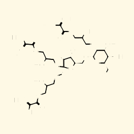 C=C(C)C(=O)OCC(O)COC[C@@]1(OCC(O)COC(=O)C(=C)C)O[C@H](CO[C@H]2O[C@H](CO)[C@@H](O)[C@H](O)[C@H]2OCC(O)COC(=O)C(=C)C)[C@@H](O)[C@@H]1O